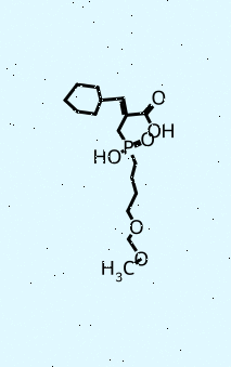 COCOCCCCP(=O)(O)CC(=CC1CCCCC1)C(=O)O